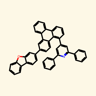 c1ccc(-c2cc(-c3cccc4c5ccccc5c5cc(-c6ccc7c(c6)oc6ccccc67)ccc5c34)cc(-c3ccccc3)n2)cc1